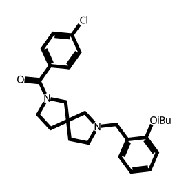 CC(C)COc1ccccc1CN1CCC2(CCN(C(=O)c3ccc(Cl)cc3)C2)C1